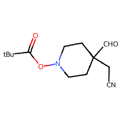 CC(C)(C)C(=O)ON1CCC(C=O)(CC#N)CC1